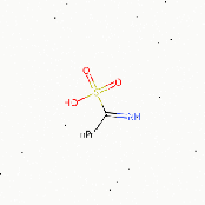 CCCC(=N)S(=O)(=O)O